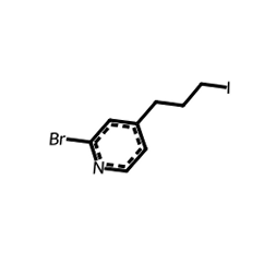 Brc1cc(CCCI)ccn1